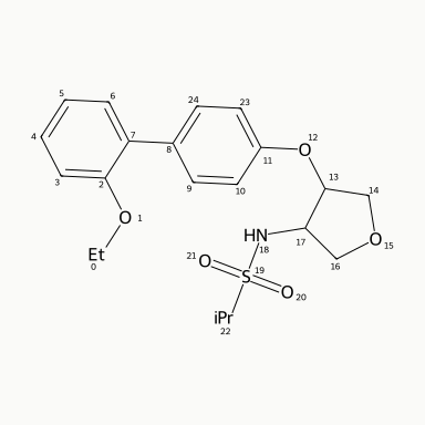 CCOc1ccccc1-c1ccc(OC2COCC2NS(=O)(=O)C(C)C)cc1